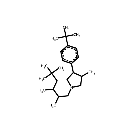 CC(CN1CC(C)C(c2ccc(C(C)(C)C)cc2)C1)C(C)CC(C)(C)C